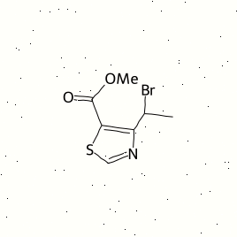 COC(=O)c1scnc1C(C)Br